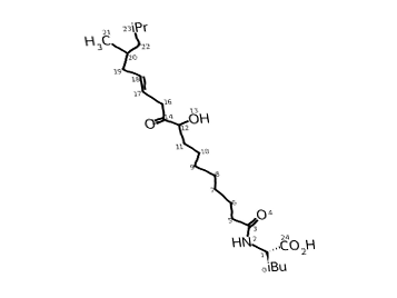 CC[C@H](C)[C@H](NC(=O)CCCCCCCC(O)C(=O)CC=CCC(C)CC(C)C)C(=O)O